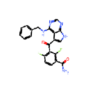 NC(=O)c1ccc(F)c(C(=O)c2c[nH]c3ncnc(NCc4ccccc4)c23)c1F